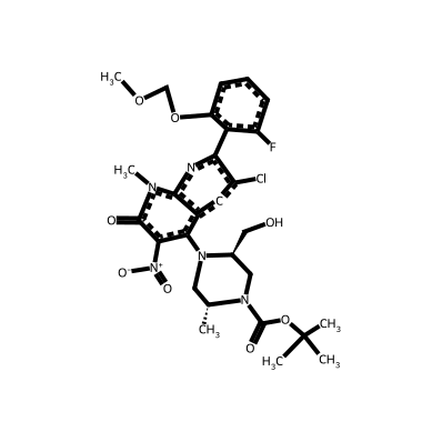 COCOc1cccc(F)c1-c1nc2c(cc1Cl)c(N1C[C@@H](C)N(C(=O)OC(C)(C)C)C[C@@H]1CO)c([N+](=O)[O-])c(=O)n2C